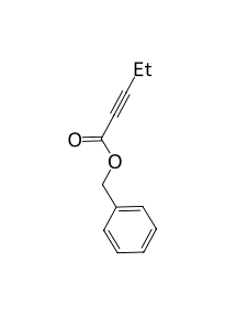 CCC#CC(=O)OCc1ccccc1